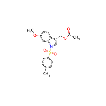 COc1ccc2c(COC(C)=O)cn(S(=O)(=O)c3ccc(C)cc3)c2c1